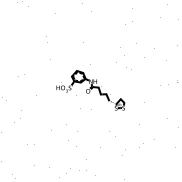 O=C(CCCC[C@@H]1CCSS1)Nc1cccc(S(=O)(=O)O)c1